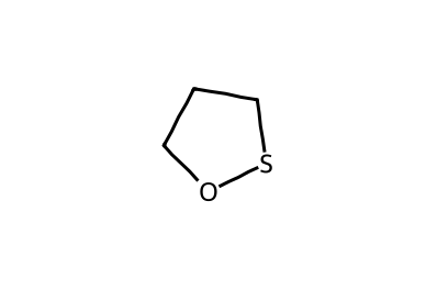 C1COSC1